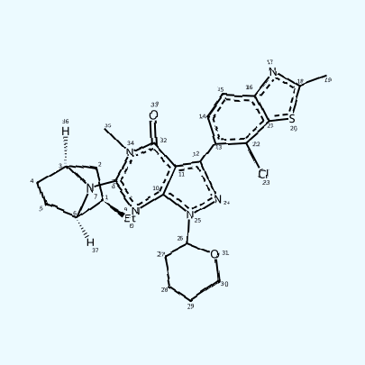 CC[C@@H]1C[C@@H]2CC[C@H]1N2c1nc2c(c(-c3ccc4nc(C)sc4c3Cl)nn2C2CCCCO2)c(=O)n1C